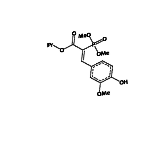 COc1cc(C=C(C(=O)OC(C)C)P(=O)(OC)OC)ccc1O